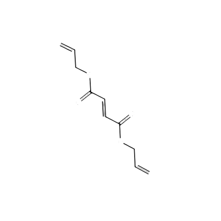 C=CCOC(=O)/[C]=C/C(=O)OCC=C